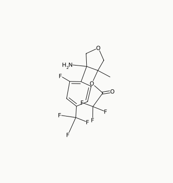 CC1(OC(=O)C(F)(F)F)COCC1(N)c1ccc(C(F)(F)F)cc1F